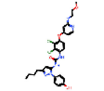 CCCCc1cc(NC(=O)Nc2ccc(Oc3ccnc(NCCOC)c3)c(Cl)c2Cl)n(-c2ccc(O)cc2)n1